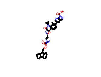 Cc1c(-c2cnc3c(cnn3C(=O)O)c2)ccc2c3oc(CCNC(=O)OCC4c5ccccc5-c5ccccc54)nc3c(=O)n(C3CC3)c12